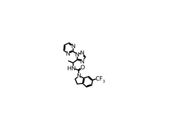 CC(NC(=O)N1CCc2ccc(C(F)(F)F)cc21)c1ncnn1-c1ncccn1